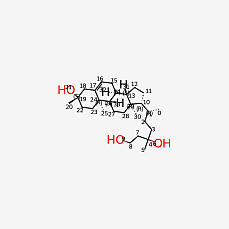 C[C@H](CCC(C)(O)CCO)[C@H]1CC[C@H]2[C@@H]3CC=C4C[C@@](C)(O)CC[C@]4(C)[C@H]3CC[C@]12C